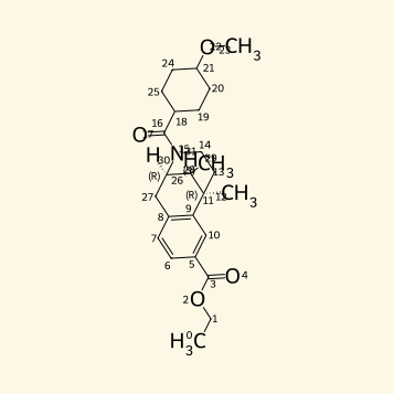 CCOC(=O)c1ccc2c(c1)[C@]1(C)CCN(C(=O)C3CCC(OC)CC3)[C@H](C2)[C@H]1C